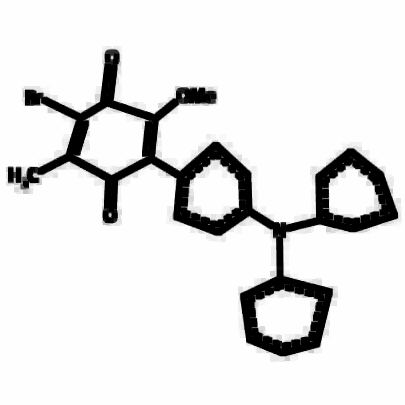 COC1=C(c2ccc(N(c3ccccc3)c3ccccc3)cc2)C(=O)C(C)=C(Br)C1=O